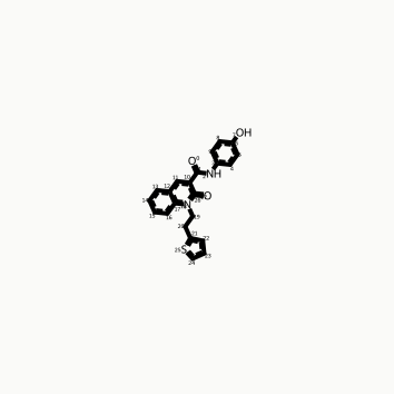 O=C(Nc1ccc(O)cc1)c1cc2ccccc2n(CCc2cccs2)c1=O